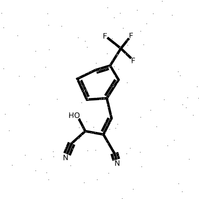 N#CC(=Cc1cccc(C(F)(F)F)c1)C(O)C#N